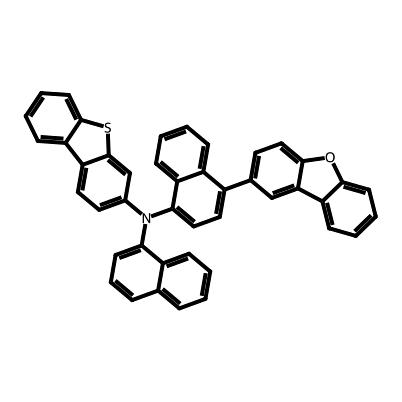 c1ccc2c(N(c3ccc4c(c3)sc3ccccc34)c3ccc(-c4ccc5oc6ccccc6c5c4)c4ccccc34)cccc2c1